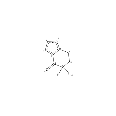 O=C1c2ccsc2CCC1(F)F